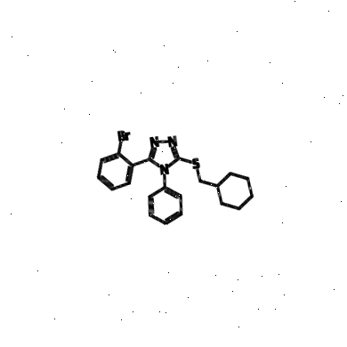 Brc1ccccc1-c1nnc(SCC2CCCCC2)n1-c1ccccc1